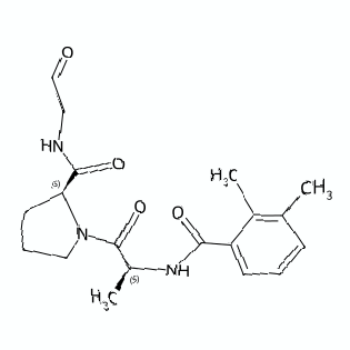 Cc1cccc(C(=O)N[C@@H](C)C(=O)N2CCC[C@H]2C(=O)NCC=O)c1C